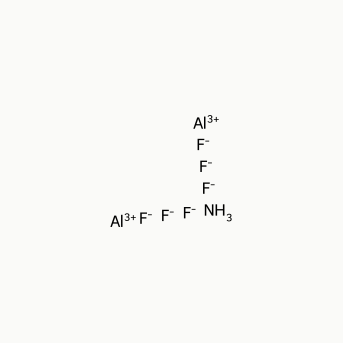 N.[Al+3].[Al+3].[F-].[F-].[F-].[F-].[F-].[F-]